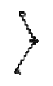 CCCCCCCCCCCCCCOS(=O)(=O)OCCCCCCCCCCCC